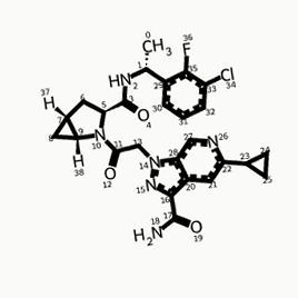 C[C@@H](NC(=O)[C@@H]1C[C@H]2C[C@H]2N1C(=O)Cn1nc(C(N)=O)c2cc(C3CC3)ncc21)c1cccc(Cl)c1F